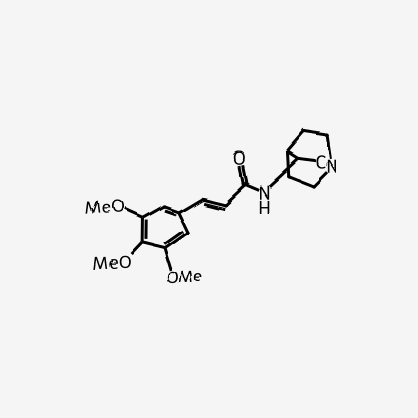 COc1cc(C=CC(=O)NC2CN3CCC2CC3)cc(OC)c1OC